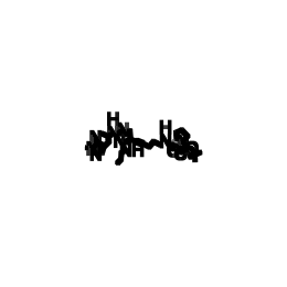 CCCNc1nc(Nc2cnc3c(cnn3C)c2)ncc1C#CCCCNC(=O)[C@@H]1CCCN1C(=O)OC(C)(C)C